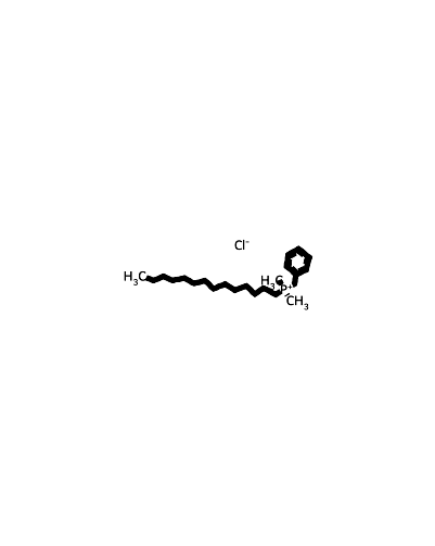 CCCCCCCCCCCCCC[P+](C)(C)Cc1ccccc1.[Cl-]